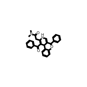 Cc1ccccc1C1C(C(=O)c2ccccc2)=CNC(CC(=O)N(C)C)=C1C(=O)c1ccccc1